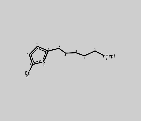 CCCCCCCCCCCCc1ccc(CC)s1